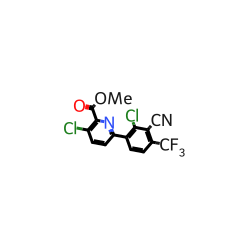 COC(=O)c1nc(-c2ccc(C(F)(F)F)c(C#N)c2Cl)ccc1Cl